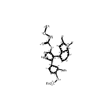 CCONC(=O)Sc1n[nH]c(-c2ccc(OC(=O)OCC)c(C(C)C)c2)c1-c1cccc2c1cc(C)n2C